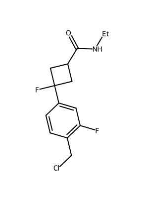 CCNC(=O)C1CC(F)(c2ccc(CCl)c(F)c2)C1